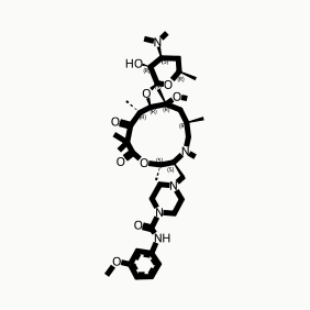 COc1cccc(NC(=O)N2CCN(C[C@H]3[C@H](C)OC(=O)C(C)(C)C(=O)[C@H](C)[C@@H](O[C@@H]4O[C@H](C)C[C@H](N(C)C)[C@H]4O)[C@](C)(OC)C[C@@H](C)CN3C)CC2)c1